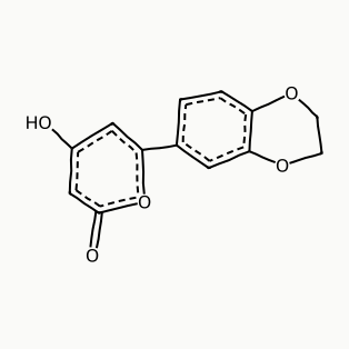 O=c1cc(O)cc(-c2ccc3c(c2)OCCO3)o1